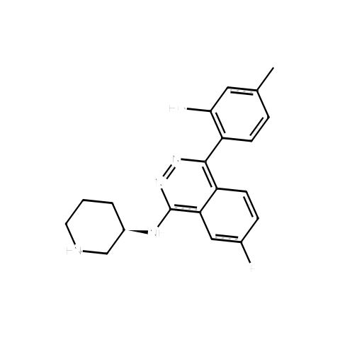 Cc1ccc(-c2nnc(N[C@@H]3CCCNC3)c3cc(F)ccc23)c(O)c1